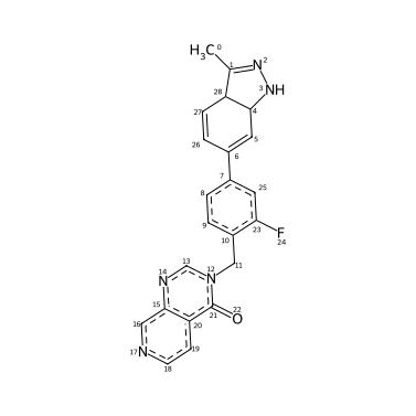 CC1=NNC2C=C(c3ccc(Cn4cnc5cnccc5c4=O)c(F)c3)C=CC12